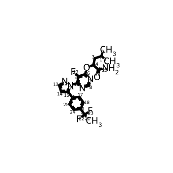 CC(C)CC(Oc1ncnc(-n2nccc2-c2ccc(C(C)(F)F)cc2)c1F)C(N)=O